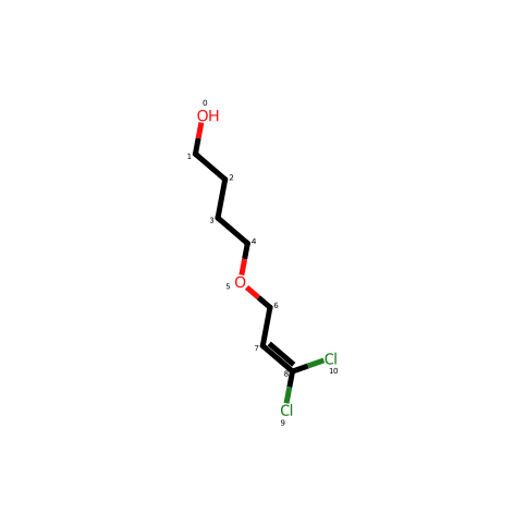 OCCCCOCC=C(Cl)Cl